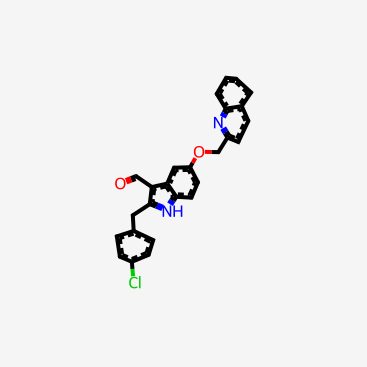 O=Cc1c(Cc2ccc(Cl)cc2)[nH]c2ccc(OCc3ccc4ccccc4n3)cc12